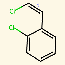 Cl/C=C\c1ccccc1Cl